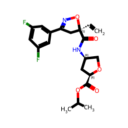 C=C[C@]1(C(=O)N[C@H]2CO[C@@H](C(=O)OC(C)C)C2)CC(c2cc(F)cc(F)c2)=NO1